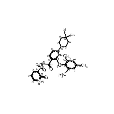 Cc1cc(C)c(Oc2nc(C3CCC(F)(F)CC3)ccc2C(=O)NS(=O)(=O)c2ccc[nH]c2=O)c(C)c1